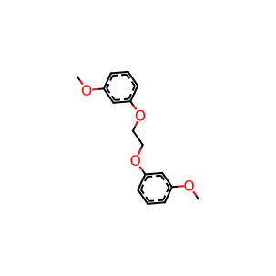 COc1cccc(OCCOc2cccc(OC)c2)c1